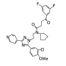 COc1ccc(-c2nc(-c3ccncc3)nn2CCN(C(=O)CCC(=O)c2cc(F)cc(F)c2)C2CCCC2)cc1Cl